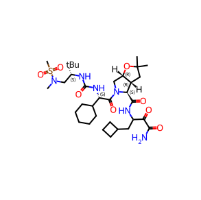 CN(C[C@@H](NC(=O)N[C@H](C(=O)N1C[C@@H]2OC(C)(C)C[C@@H]2[C@H]1C(=O)NC(CC1CCC1)C(=O)C(N)=O)C1CCCCC1)C(C)(C)C)S(C)(=O)=O